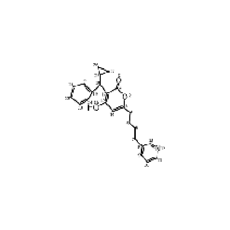 O=c1oc(CCCCc2cccnc2)cc(O)c1C(c1ccccc1)C1CC1